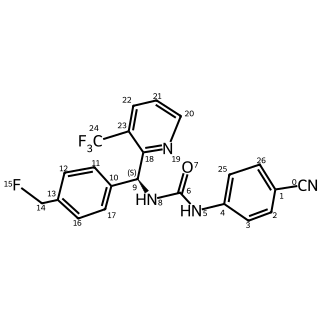 N#Cc1ccc(NC(=O)N[C@@H](c2ccc(CF)cc2)c2ncccc2C(F)(F)F)cc1